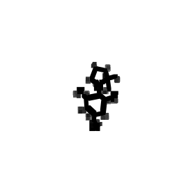 CC1(C)CCCN1c1c(F)cc(Br)cc1F